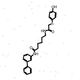 O=C(CSc1ccc(O)cc1)NCCCCCC(=O)Nc1cccc(-c2ccccc2)c1